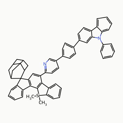 C[Si]1(C)c2ccccc2-c2c(-c3ccc(-c4ccc(-c5ccc6c7ccccc7n(-c7ccccc7)c6c5)cc4)cn3)cc3c(c21)-c1ccccc1C31C2CC3CC(C2)CC1C3